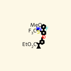 CCOC(=O)CC(c1cccc(COc2ccc(-c3cc(OC)ccc3F)c(-c3nnc(C(F)(F)F)s3)c2)c1)C1CC1